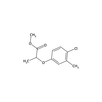 COC(=O)C(C)Oc1ccc(Cl)c(C)c1